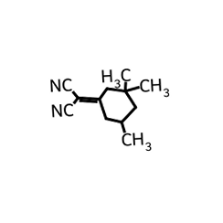 CC1CC(=C(C#N)C#N)CC(C)(C)C1